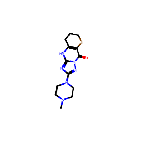 CN1CCN(c2nc3[nH]c4c(c(=O)n3n2)SCCC4)CC1